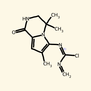 C=N/C(Cl)=N\c1c(C)cc2n1C(C)(C)CNC2=O